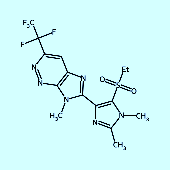 CCS(=O)(=O)c1c(-c2nc3cc(C(F)(F)C(F)(F)F)nnc3n2C)nc(C)n1C